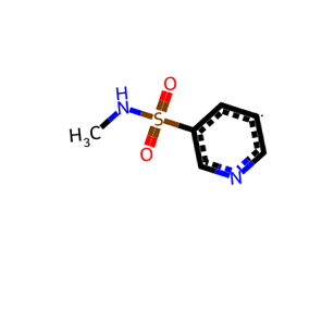 CNS(=O)(=O)c1c[c]cnc1